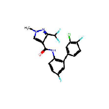 Cn1cc(C(=O)Nc2ccc(F)cc2-c2ccc(F)c(Cl)c2)c(C(F)F)n1